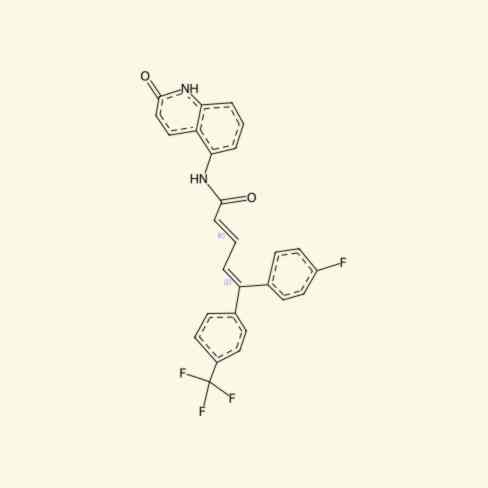 O=C(/C=C/C=C(\c1ccc(F)cc1)c1ccc(C(F)(F)F)cc1)Nc1cccc2[nH]c(=O)ccc12